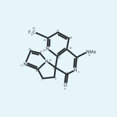 CNC1=NC(=O)C2(CCc3nccn32)c2nc(C(F)(F)F)ccc21